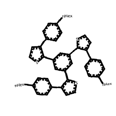 CCCCCCc1ccc(-c2ccsc2-c2cc(-c3sccc3-c3ccc(CCCCCC)cc3)cc(-c3sccc3-c3ccc(CCCCCC)cc3)c2)cc1